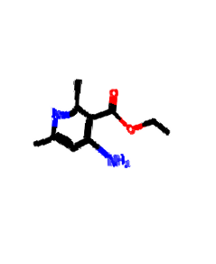 CCOC(=O)c1c(N)cc(C)nc1C